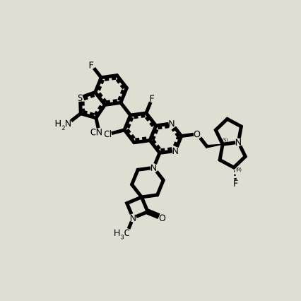 CN1CC2(CCN(c3nc(OC[C@@]45CCCN4C[C@H](F)C5)nc4c(F)c(-c5ccc(F)c6sc(N)c(C#N)c56)c(Cl)cc34)CC2)C1=O